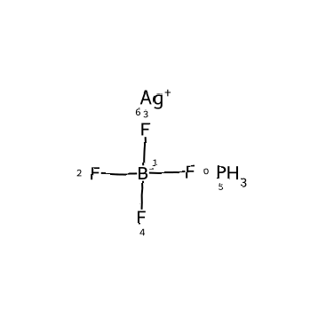 F[B-](F)(F)F.P.[Ag+]